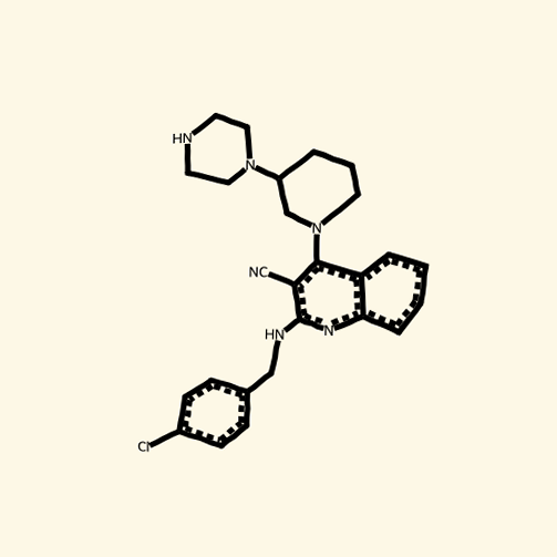 N#Cc1c(NCc2ccc(Cl)cc2)nc2ccccc2c1N1CCCC(N2CCNCC2)C1